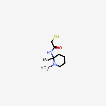 CC(C)(C)C1(NC(=O)CS)CCCCN1C(=O)O